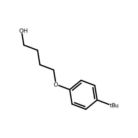 CC(C)(C)c1ccc(OCCCCO)cc1